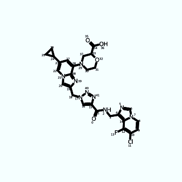 O=C(NCc1ncn2ccc(Cl)c(F)c12)c1cn(Cc2cn3cc(C4CC4)cc(N4CCOC(C(=O)O)C4)c3n2)nn1